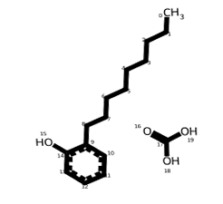 CCCCCCCCCc1ccccc1O.O=C(O)O